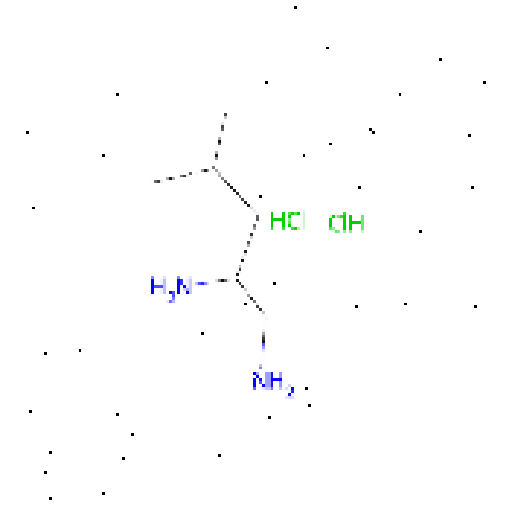 CC(C)CC(N)CN.Cl.Cl